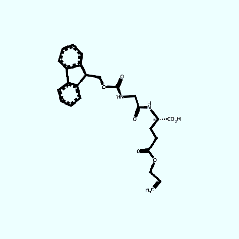 C=CCOC(=O)CC[C@H](NC(=O)CNC(=O)OCC1c2ccccc2-c2ccccc21)C(=O)O